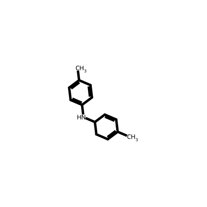 CC1=CCC(Nc2ccc(C)cc2)C=C1